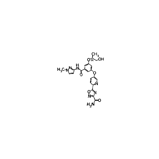 C[C@@H](CO)Oc1cc(Oc2ccc(-c3nc(C(N)=O)no3)nc2)cc(C(=O)Nc2ccn(C)n2)c1